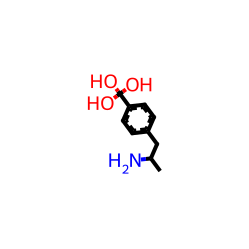 CC(N)Cc1ccc(C(O)(O)O)cc1